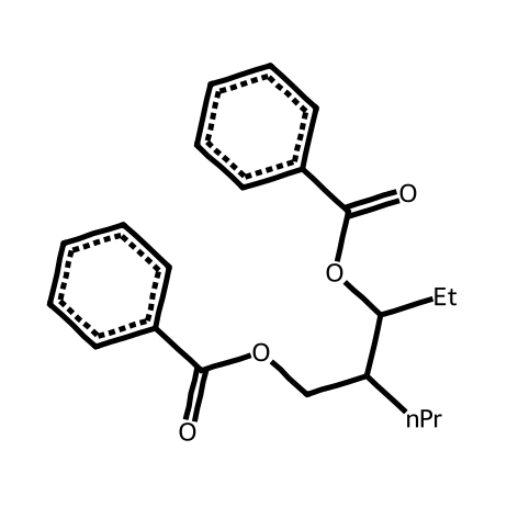 CCCC(COC(=O)c1ccccc1)C(CC)OC(=O)c1ccccc1